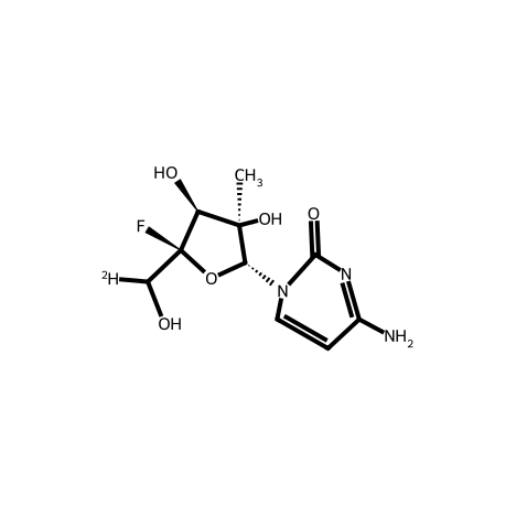 [2H]C(O)[C@@]1(F)O[C@@H](n2ccc(N)nc2=O)[C@](C)(O)[C@@H]1O